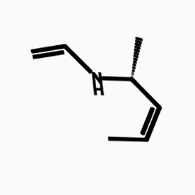 C=CN[C@H](C)/C=C\C